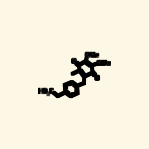 COC1=C(OC)C(=O)C(Cc2ccc(CC(=O)O)cc2)=C(C)C1=O